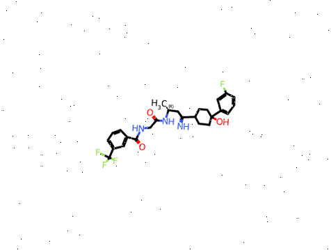 C[C@H](CC(=N)C1CCC(O)(c2cccc(F)c2)CC1)NC(=O)CNC(=O)c1cccc(C(F)(F)F)c1